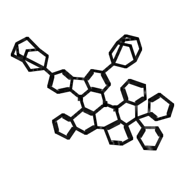 c1ccc(C2(c3ccccc3)c3ccccc3N3B4c5c(cc6ccccc6c5-n5c6ccc(C78CC9CC(CC(C9)C7)C8)cc6c6cc(C78CC9CC(CC(C9)C7)C8)cc4c65)-c4cccc2c43)cc1